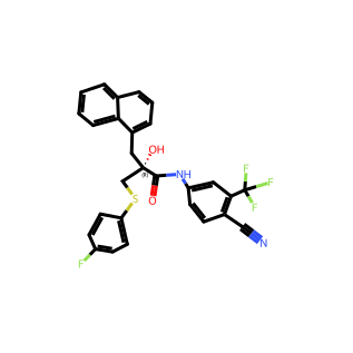 N#Cc1ccc(NC(=O)[C@@](O)(CSc2ccc(F)cc2)Cc2cccc3ccccc23)cc1C(F)(F)F